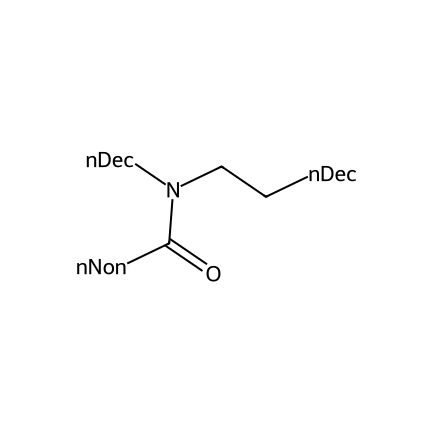 CCCCCCCCCCCCN(CCCCCCCCCC)C(=O)CCCCCCCCC